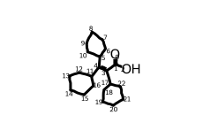 O=C(O)C(=C(C1CCCCC1)C1CCCCC1)C1CCCCC1